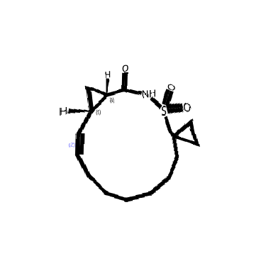 O=C1NS(=O)(=O)C2(CCCCCC/C=C\[C@@H]3C[C@H]13)CC2